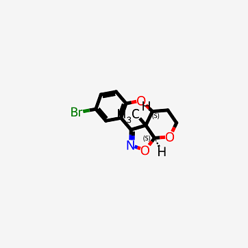 CC12C3=NO[C@@H]1OCC[C@@H]2Oc1ccc(Br)cc13